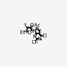 CC[C@H]1O[C@@H](n2ncc3c(Cl)nc(Cl)nc32)[C@H](OC(C)=O)[C@@H]1C